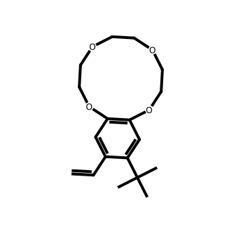 C=Cc1cc2c(cc1C(C)(C)C)OCCOCCOCCO2